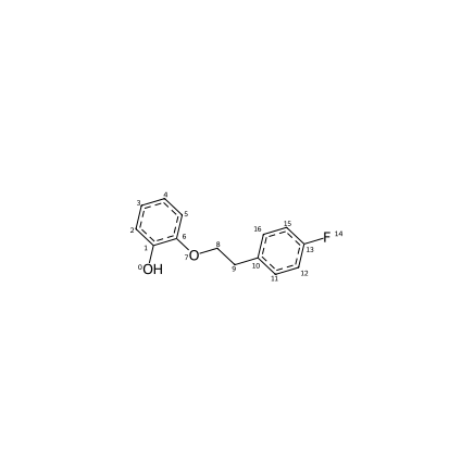 Oc1ccccc1OCCc1ccc(F)cc1